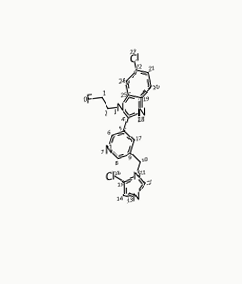 FCCn1c(-c2cncc(Cn3cncc3Cl)c2)nc2ccc(Cl)cc21